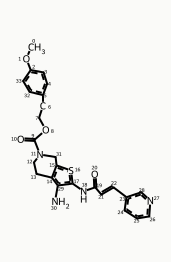 COc1ccc(CCOC(=O)N2CCc3c(sc(NC(=O)/C=C/c4cccnc4)c3N)C2)cc1